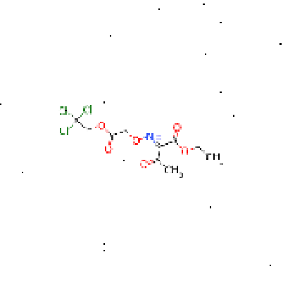 CCOC(=O)/C(=N/OCC(=O)OCC(Cl)(Cl)Cl)C(C)=O